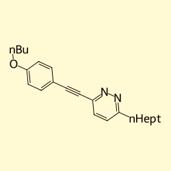 CCCCCCCc1ccc(C#Cc2ccc(OCCCC)cc2)nn1